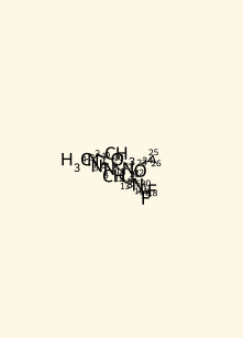 Cc1cn(C)nc1N(C)C(=O)c1ccc(N2CC(F)(F)C2)c(OCC2CC2)n1